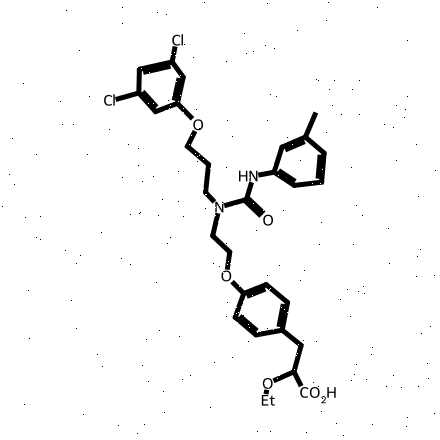 CCOC(Cc1ccc(OCCN(CCCOc2cc(Cl)cc(Cl)c2)C(=O)Nc2cccc(C)c2)cc1)C(=O)O